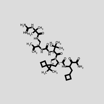 C=C(C)[C@@H](CNC(=O)C(C)(C)NC(=N)N)NC(=O)N[C@H](C(=O)N1C[C@]2(C[C@H]1C(=O)NC(CC1CCC1)C(=O)C(N)=O)C(C)(C)C21CCC1)C(C)(C)C